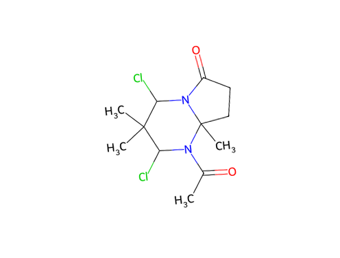 CC(=O)N1C(Cl)C(C)(C)C(Cl)N2C(=O)CCC12C